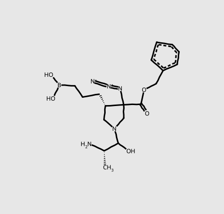 C[C@H](N)C(O)N1C[C@H](CCCB(O)O)C(N=[N+]=[N-])(C(=O)OCc2ccccc2)C1